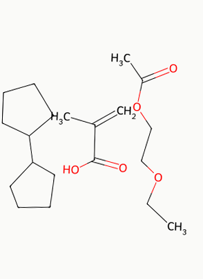 C1CCC(C2CCCC2)C1.C=C(C)C(=O)O.CCOCCOC(C)=O